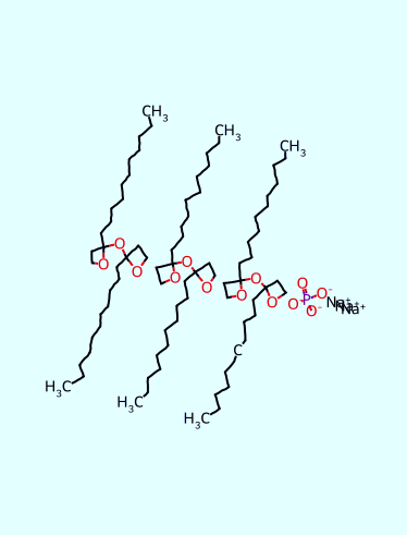 CCCCCCCCCCCC1(OC2(CCCCCCCCCCC)CCO2)CCO1.CCCCCCCCCCCC1(OC2(CCCCCCCCCCC)CCO2)CCO1.CCCCCCCCCCCC1(OC2(CCCCCCCCCCC)CCO2)CCO1.O=P([O-])([O-])[O-].[Na+].[Na+].[Na+]